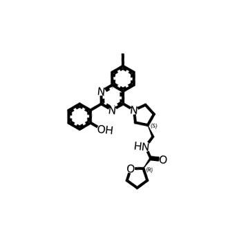 Cc1ccc2c(N3CC[C@@H](CNC(=O)[C@H]4CCCO4)C3)nc(-c3ccccc3O)nc2c1